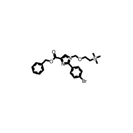 C[Si](C)(C)CCOCn1cc(C(=O)OCc2ccccc2)nc1-c1ccc(Br)cc1